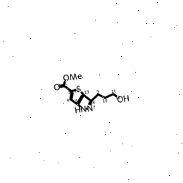 COC(=O)c1cc2[nH]nc(CCCO)c2s1